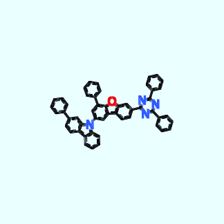 c1ccc(-c2ccc3c4ccccc4n(-c4cc(-c5ccccc5)c5oc6cc(-c7nc(-c8ccccc8)nc(-c8ccccc8)n7)ccc6c5c4)c3c2)cc1